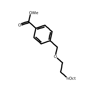 CCCCCCCCCCOCc1ccc(C(=O)OC)cc1